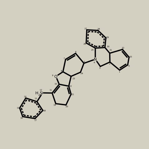 C1=CC2CN(C3C=CC4OC5=C([SiH2]c6ccccc6)CCC=C5C4C3)c3ccccc3C2C=C1